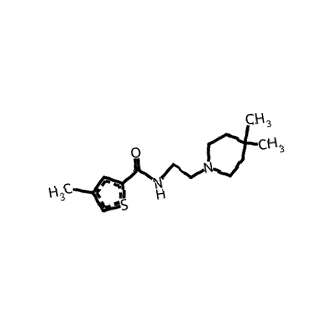 Cc1csc(C(=O)NCCN2CCC(C)(C)CC2)c1